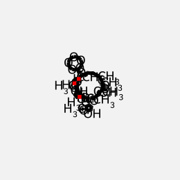 CO[C@@H]1C[C@H](C[C@@H](C)[C@@H]2CC(=O)[C@H](C)/C=C(\C)[C@@H](O)[C@@H](OC)C(=O)[C@H](C)C[C@H](C)/C=C/C=C/C=C(\C)[C@@H](OCC3COCCOCCOCCOCCO3)C[C@@H]3CC[C@@H](C)[C@@](O)(O3)C(=O)C(=O)N3CCCC[C@H]3C(=O)O2)CC[C@H]1O